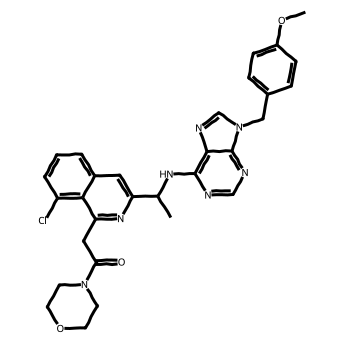 COc1ccc(Cn2cnc3c(NC(C)c4cc5cccc(Cl)c5c(CC(=O)N5CCOCC5)n4)ncnc32)cc1